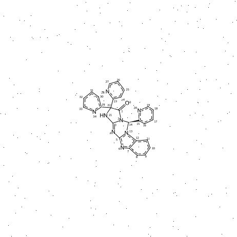 O=C1N2C(=Nc3nc4ccccc4n3[C@@H]2c2ccccn2)NC1(c1ccccn1)c1ccccn1